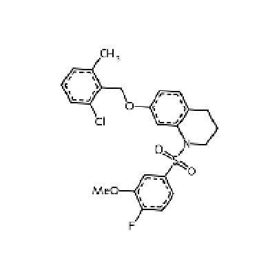 COc1cc(S(=O)(=O)N2CCCc3ccc(OCc4c(C)cccc4Cl)cc32)ccc1F